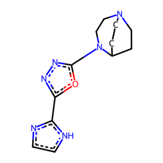 c1c[nH]c(-c2nnc(N3CCN4CCC3CC4)o2)n1